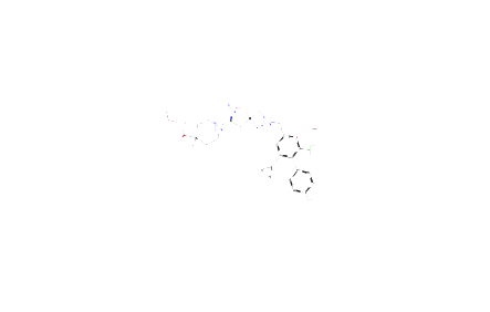 CCOC(=O)C1(C)CCN(C2=NOC3(C2)CN(Cc2cc(C4CC4)c(-c4ccc(F)cc4)c(F)c2OCC)C3)CC1